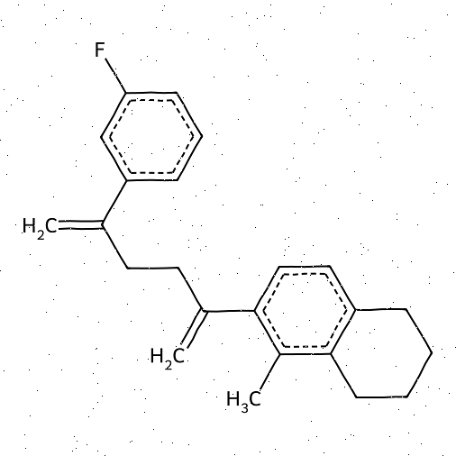 C=C(CCC(=C)c1ccc2c(c1C)CCCC2)c1cccc(F)c1